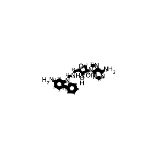 Nc1ccc2c3ccccc3n(CNCC3OC[C@@](O)(n4cnc5c(N)ncnc54)C3O)c2c1